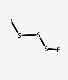 FSSSI